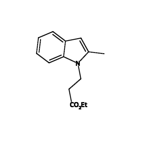 CCOC(=O)CCn1c(C)cc2ccccc21